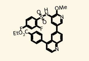 CCOC(=O)c1ccc(-c2ccnc3ccc(-c4cnc(OC)c(NS(=O)(=O)c5ccc(F)cc5F)c4)cc23)cc1